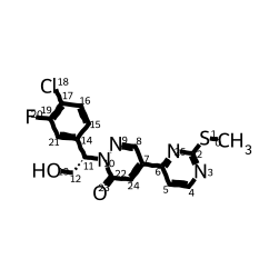 CSc1nccc(-c2cnn([C@H](CO)c3ccc(Cl)c(F)c3)c(=O)c2)n1